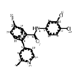 Cc1cc(-c2c(C(=O)Nc3ccc(Cl)c(Cl)c3)c3oc2cc3F)ccn1